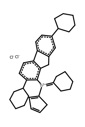 C1=CC[C]([Ti+2](=[C]2CCCCC2)[c]2c(C3CCCCC3)ccc3c2Cc2cc(C4CCCCC4)ccc2-3)=C1.[Cl-].[Cl-]